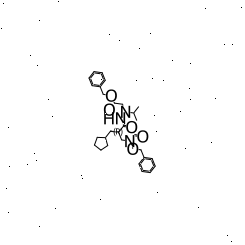 CC(C)N(CC(=O)OCc1ccccc1)NC(=O)[C@H](CC1CCCC1)CN(C=O)OCc1ccccc1